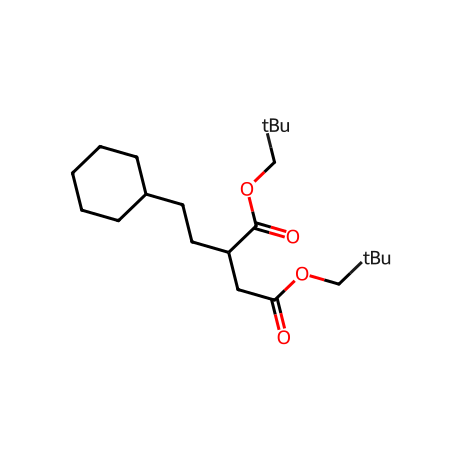 CC(C)(C)COC(=O)CC(CCC1CCCCC1)C(=O)OCC(C)(C)C